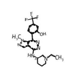 CCN1CCC[C@@H](Nc2nnc(-c3ccc(C(F)(F)F)cc3O)c3c2cnn3C)C1